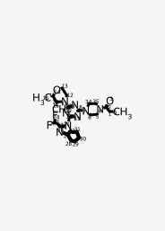 CCC(=O)N1CCN(c2nc(N3CCO[C@H](C)[C@@H]3C)nc(-n3c(C(F)F)nc4ccccc43)n2)CC1